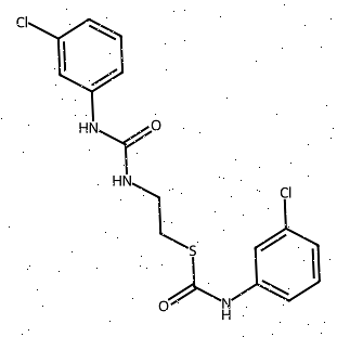 O=C(NCCSC(=O)Nc1cccc(Cl)c1)Nc1cccc(Cl)c1